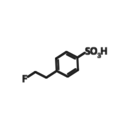 O=S(=O)(O)c1ccc(CCF)cc1